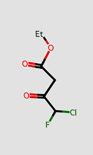 CCOC(=O)CC(=O)C(F)Cl